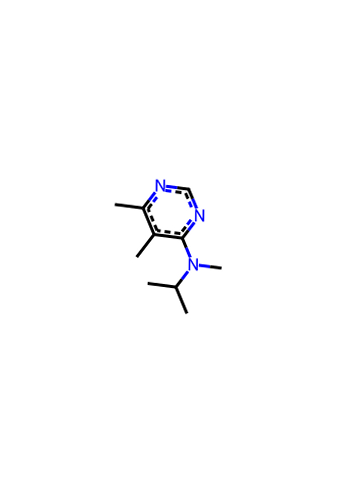 Cc1ncnc(N(C)C(C)C)c1C